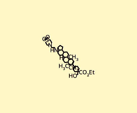 CCOC(=O)C1(CO)CC=C(C2=CC[C@]3(C)C4CCC5C(CC[C@@]6(NCCN7CCS(=O)(=O)CC7)CCCC56)[C@@H]4CCC3C2(C)C)CC1